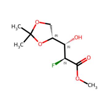 COC(=O)[C@@H](F)[C@@H](O)[C@H]1COC(C)(C)O1